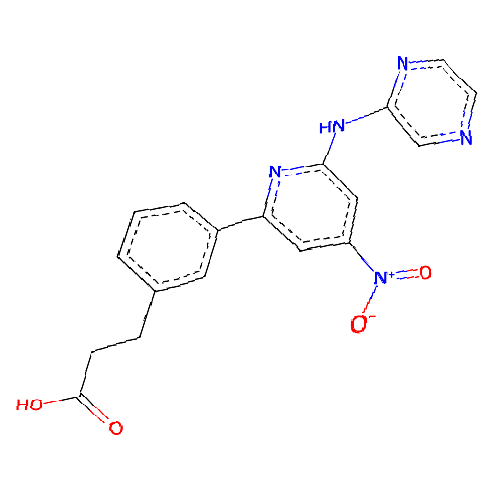 O=C(O)CCc1cccc(-c2cc([N+](=O)[O-])cc(Nc3cnccn3)n2)c1